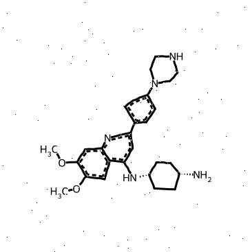 COc1cc2nc(-c3ccc(N4CCNCC4)cc3)cc(N[C@H]3CC[C@@H](N)CC3)c2cc1OC